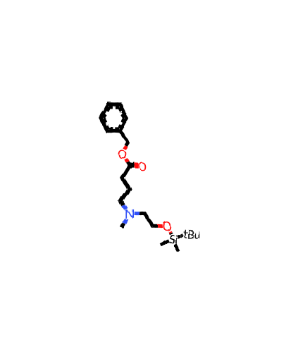 CN(CCCC(=O)OCc1ccccc1)CCO[Si](C)(C)C(C)(C)C